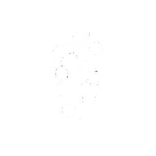 Cc1ccccc1-c1ccc2sc3ccccc3c2c1C(C)C[C@@H](C)C1=C(c2cccc(F)c2)C(n2c3ccccc3c3ccc4sc5ccccc5c4c32)=C(c2cccc(F)c2)C1C